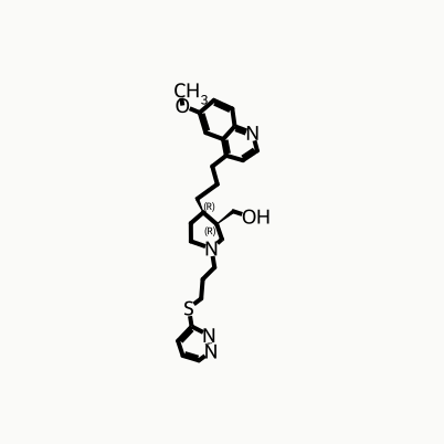 COc1ccc2nccc(CCC[C@@H]3CCN(CCCSc4cccnn4)C[C@@H]3CO)c2c1